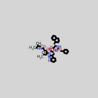 CCC(C)CNC(=O)CC(O)C(CC(C)C)NC(=O)[C@H](Cc1c[nH]c2ccccc12)NC(=O)[C@H](Cc1cccc2ccccc12)NC(=O)OCc1ccccc1